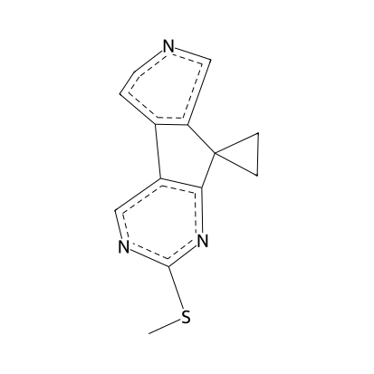 CSc1ncc2c(n1)C1(CC1)c1cnccc1-2